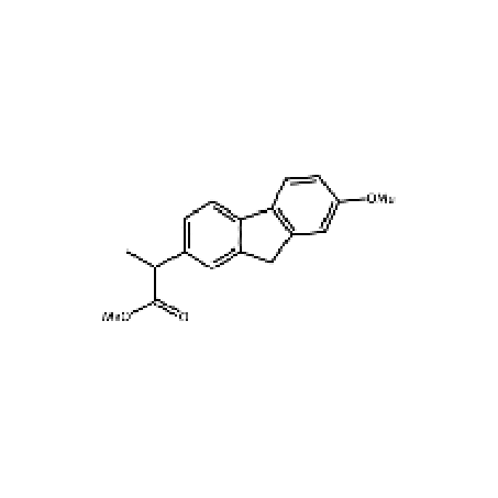 COC(=O)C(C)c1ccc2c(c1)Cc1cc(OC)ccc1-2